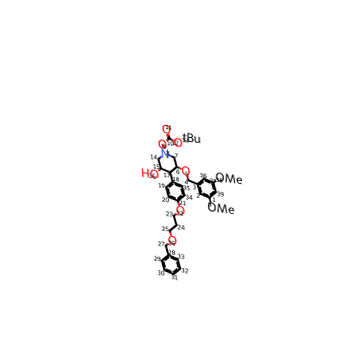 COc1cc(COC2CN(OC(=O)OC(C)(C)C)CC(O)C2c2ccc(OCCCOCc3ccccc3)cc2)cc(OC)c1